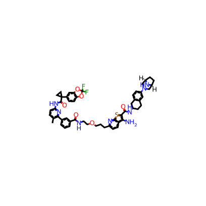 Cc1ccc(NC(=O)C2(c3ccc4c(c3)OC(F)(F)O4)CC2)nc1-c1cccc(C(=O)NCCOCCCc2ccc3c(N)c(C(=O)N[C@H]4CCc5cc(N6C[C@H]7CC[C@@H](C6)N7)ccc5C4)sc3n2)c1